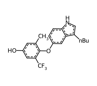 CCCCc1c[nH]c2ccc(Oc3c(C)cc(O)cc3C(F)(F)F)cc12